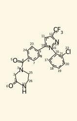 O=C1CN(C(=O)c2ccc(-c3cc(C(F)(F)F)nn3-c3ccccc3Cl)cc2)CCN1